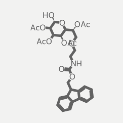 CC(=O)OC1C(OC(C)=O)[C@H](O)OC([C@@H](COCCNC(=O)OCC2c3ccccc3-c3ccccc32)OC(C)=O)[C@H]1OC(C)=O